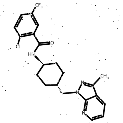 Cc1nn(C[C@H]2CC[C@H](NC(=O)c3cc(C(F)(F)F)ccc3Cl)CC2)c2ncccc12